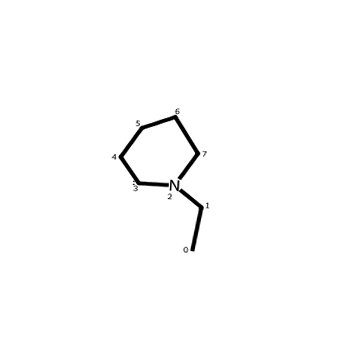 CCN1[C]CCCC1